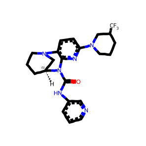 O=C(Nc1cccnc1)N1c2nc(N3CCCC(C(F)(F)F)C3)ccc2N2CCC[C@H]1C2